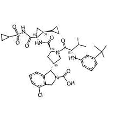 CC(C)[C@H](Nc1cccc(C(C)(C)C)c1)C(=O)N1C[C@H](C2c3cccc(Cl)c3CN2C(=O)O)C[C@H]1C(=O)N[C@]1(C(=O)NS(=O)(=O)C2CC2)C[C@H]1C1CC1